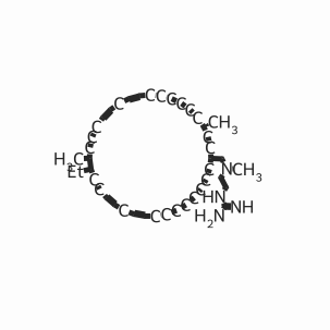 CCC1CC/C=C\C/C=C\CCCCCCCCC(CN(C)CCNC(=N)N)CC[C@H](C)CCCCCC/C=C\C/C=C\CCCC1C